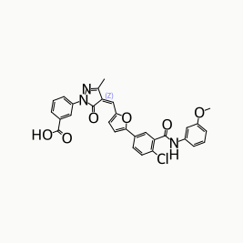 COc1cccc(NC(=O)c2cc(-c3ccc(/C=C4\C(=O)N(c5cccc(C(=O)O)c5)N=C4C)o3)ccc2Cl)c1